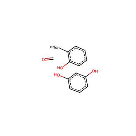 C=O.CCCCCCCCCc1ccccc1O.Oc1cccc(O)c1